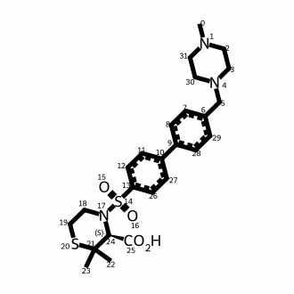 CN1CCN(Cc2ccc(-c3ccc(S(=O)(=O)N4CCSC(C)(C)[C@@H]4C(=O)O)cc3)cc2)CC1